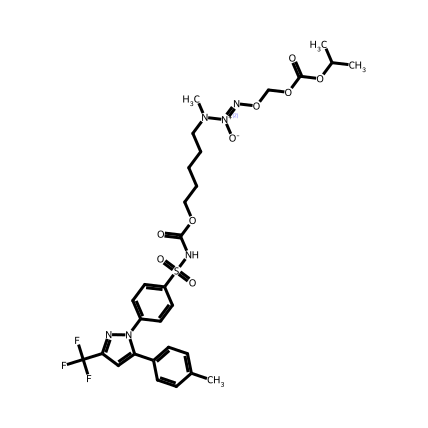 Cc1ccc(-c2cc(C(F)(F)F)nn2-c2ccc(S(=O)(=O)NC(=O)OCCCCCN(C)/[N+]([O-])=N/OCOC(=O)OC(C)C)cc2)cc1